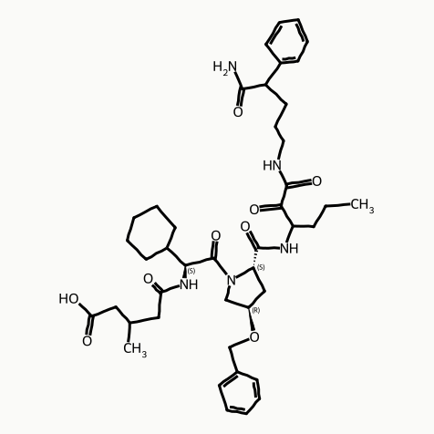 CCCC(NC(=O)[C@@H]1C[C@@H](OCc2ccccc2)CN1C(=O)[C@@H](NC(=O)CC(C)CC(=O)O)C1CCCCC1)C(=O)C(=O)NCCCC(C(N)=O)c1ccccc1